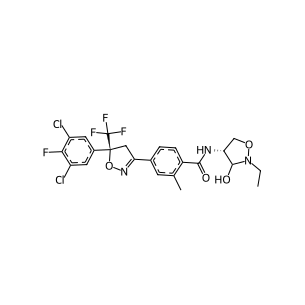 CCN1OC[C@@H](NC(=O)c2ccc(C3=NO[C@@](c4cc(Cl)c(F)c(Cl)c4)(C(F)(F)F)C3)cc2C)C1O